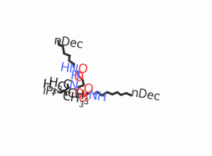 CCCCCCCCCCCCCCCCCCNC(=O)OC(COC(=O)NCCCCCCCCCCCCCCCC)C(=O)NC(C)(C)C(C)(C)CC(C)C